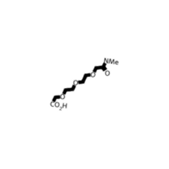 CNC(=O)COCCOCCOCC(=O)O